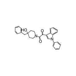 O=C(C(=O)N1CCC(O)(Cc2ccccc2)CC1)c1cn(-c2ccccc2)c2ccccc12